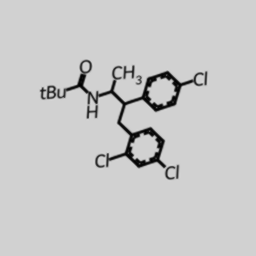 CC(NC(=O)C(C)(C)C)C(Cc1ccc(Cl)cc1Cl)c1ccc(Cl)cc1